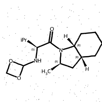 CC(C)[C@H](NC1OCO1)C(=O)N1[C@H](C)C[C@H]2CCCC[C@H]21